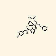 O=C(O)CCN(CCc1cccnc1)C(=O)c1ccccc1-c1ccccc1C(=O)NCc1ccc(F)cc1